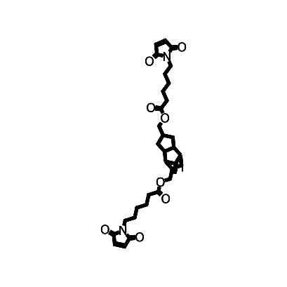 C[C@@H]1C2CC(COC(=O)CCCCCN3C(=O)C=CC3=O)C1C1CC(COC(=O)CCCCCN3C(=O)C=CC3=O)CC12